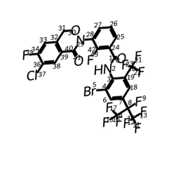 O=C(Nc1c(Br)cc(C(F)(C(F)(F)F)C(F)(F)F)cc1C(F)(F)F)c1cccc(N2OCc3cc(F)c(Cl)cc3C2=O)c1F